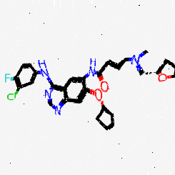 CN(CC=CC(=O)Nc1cc2c(Nc3ccc(F)c(Cl)c3)ncnc2cc1OC1CCCC1)C[C@@H]1CCCO1